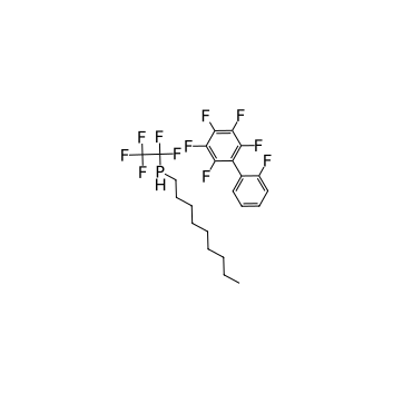 CCCCCCCCCPC(F)(F)C(F)(F)F.Fc1ccccc1-c1c(F)c(F)c(F)c(F)c1F